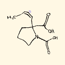 C/C=C\C1(C(=O)O)CCCN1C(=O)O